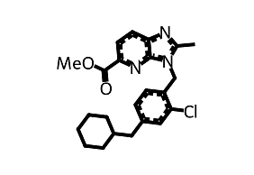 COC(=O)c1ccc2nc(C)n(Cc3ccc(CC4CCCCC4)cc3Cl)c2n1